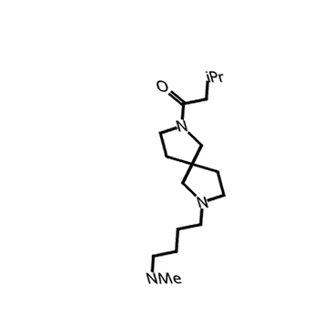 CNCCCCN1CCC2(CCN(C(=O)CC(C)C)C2)C1